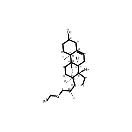 CC(C)CSC[C@@H](C)[C@H]1CC[C@H]2[C@@H]3CC=C4CC(O)CC[C@]4(C)[C@H]3CC[C@]12C